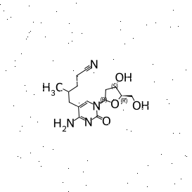 CC(CCC#N)Cc1cn([C@H]2C[C@H](O)[C@@H](CO)O2)c(=O)nc1N